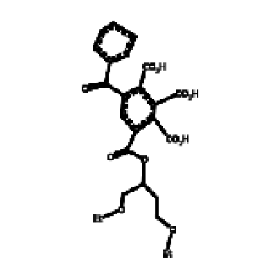 CCOCCC(COCC)OC(=O)c1cc(C(=O)c2ccccc2)c(C(=O)O)c(C(=O)O)c1C(=O)O